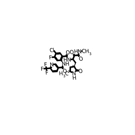 CNC(=O)C(=O)C(C[C@@H]1C[C@@H](C)NC1=O)NC(=O)c1cc(Cl)c(F)cc1NC(=O)c1ccc(C(F)(F)F)nc1